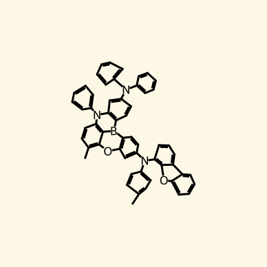 Cc1ccc(N(c2ccc3c(c2)Oc2c(C)ccc4c2B3c2ccc(N(c3ccccc3)c3ccccc3)cc2N4c2ccccc2)c2cccc3c2oc2ccccc23)cc1